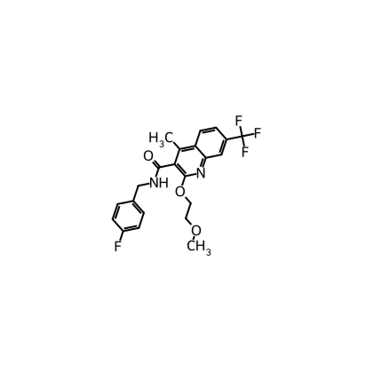 COCCOc1nc2cc(C(F)(F)F)ccc2c(C)c1C(=O)NCc1ccc(F)cc1